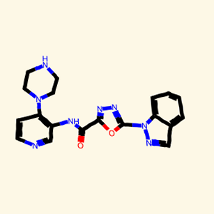 O=C(Nc1cnccc1N1CCNCC1)c1nnc(-n2ncc3ccccc32)o1